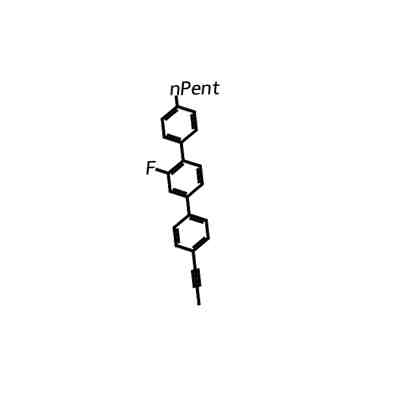 CC#Cc1ccc(-c2ccc(-c3ccc(CCCCC)cc3)c(F)c2)cc1